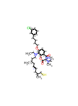 CCN(CC[C@@H](C)C/C=C/C[C@H](C)CS)c1c(OCCCCc2cccc(Cl)c2)ccc(C(N)=O)c1OC(=O)CN(C)C